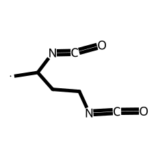 [CH2]C(CCN=C=O)N=C=O